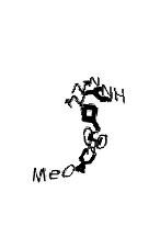 COC1CC12CCN(S(=O)(=O)CC1CC(N(C)c3ncnc4[nH]ccc34)C1)CC2